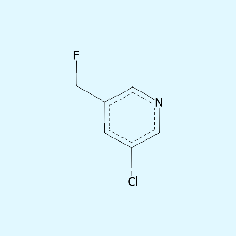 FCc1cncc(Cl)c1